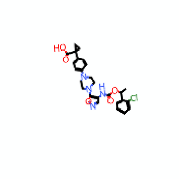 CC(OC(=O)Nc1cnoc1N1CCN(c2ccc(C3(C(=O)O)CC3)cc2)CC1)c1ccccc1Cl